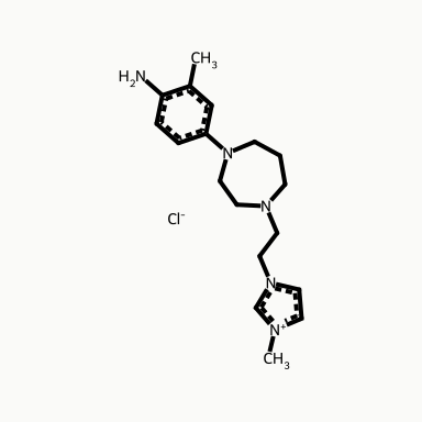 Cc1cc(N2CCCN(CCn3cc[n+](C)c3)CC2)ccc1N.[Cl-]